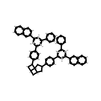 c1ccc(-c2nc(-c3ccc(C4CC5CC6CC(c7ccc(-c8nc(-c9ccccc9)nc(-c9ccc%10ccccc%10c9)n8)cc7)C56C4)cc3)nc(-c3ccc4ccccc4c3)n2)cc1